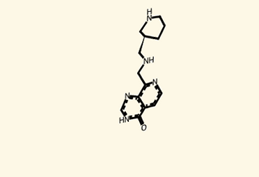 O=c1[nH]cnc2c(CNC[C@@H]3CCCNC3)nccc12